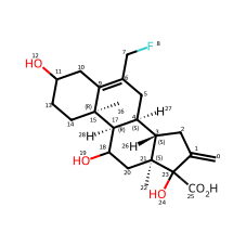 C=C1C[C@H]2[C@@H]3CC(CF)=C4CC(O)CC[C@]4(C)[C@@H]3C(O)C[C@]2(C)C1(O)C(=O)O